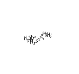 S.[PbH2].[SbH3].[Zn]